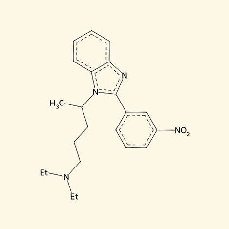 CCN(CC)CCCC(C)n1c(-c2cccc([N+](=O)[O-])c2)nc2ccccc21